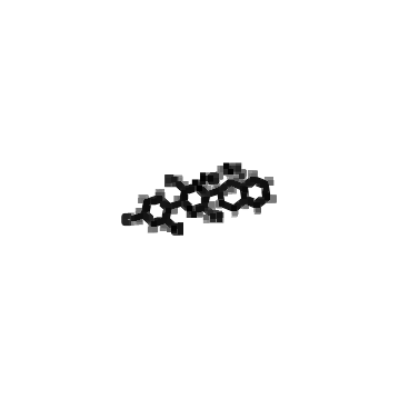 CCc1nc([C@]2(O)CCc3ccccc3[C@H]2N)c(CC)nc1-c1ccc(Cl)cc1Cl